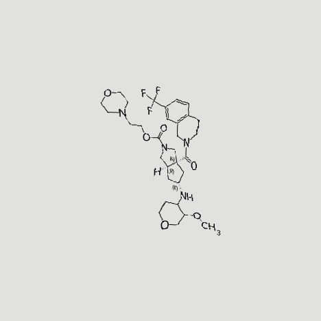 COC1COCCC1N[C@@H]1C[C@H]2CN(C(=O)OCCN3CCOCC3)C[C@@]2(C(=O)N2CCc3ccc(C(F)(F)F)cc3C2)C1